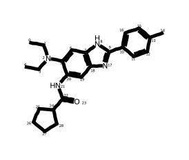 CCN(CC)c1cc2[nH]c(-c3ccc(C)cc3)nc2cc1NC(=O)C1CCCC1